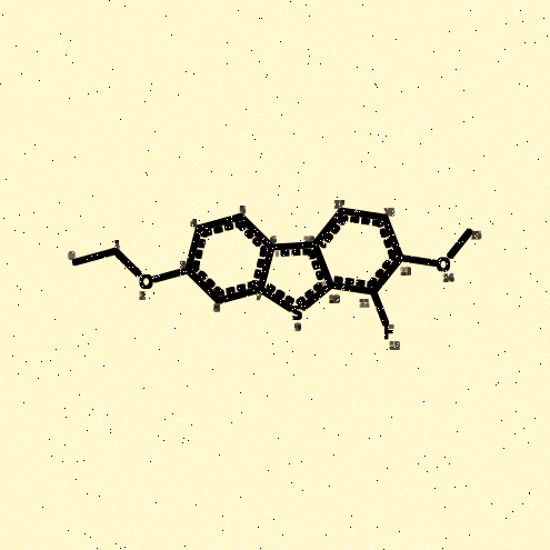 CCOc1ccc2c(c1)sc1c(F)c(OC)ccc12